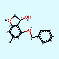 Cc1cc(OCc2ccccc2)c2c(c1)OCC2O